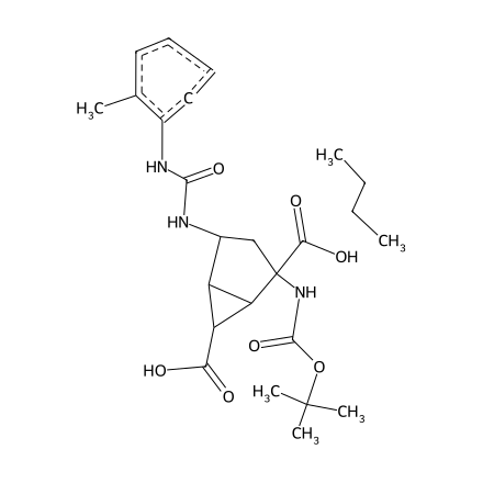 CCCC.Cc1ccccc1NC(=O)NC1CC(NC(=O)OC(C)(C)C)(C(=O)O)C2C(C(=O)O)C12